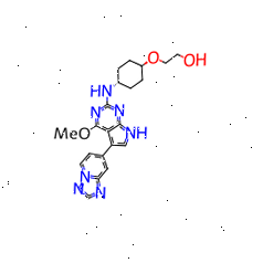 COc1nc(N[C@H]2CC[C@H](OCCO)CC2)nc2[nH]cc(-c3ccn4ncnc4c3)c12